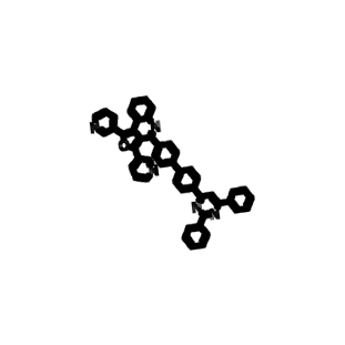 c1ccc(-c2cc(-c3ccc(-c4ccc(-c5nc6ccccc6c6c(-c7cccnc7)oc(-c7cccnc7)c56)cc4)cc3)nc(-c3ccccc3)n2)cc1